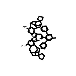 Cc1cc(-c2ccccc2)c(-c2cc3c4c5c(c(C#N)cc4n4c6cc(C#N)c7c(c6c(c2)c34)C2CC3C4(CCCC4)C4CC7CC43C2)C2CC3CC5CC(C2)C32CCCC2)c(-c2ccccc2)c1